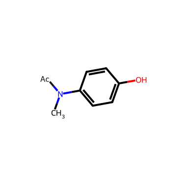 [CH2]C(=O)N(C)c1ccc(O)cc1